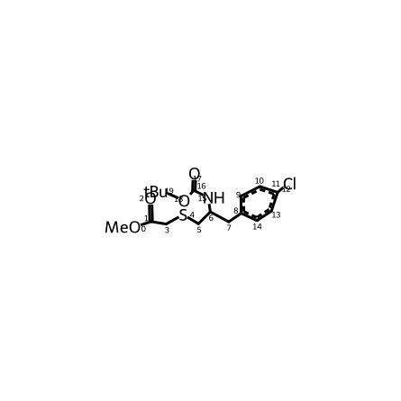 COC(=O)CSCC(Cc1ccc(Cl)cc1)NC(=O)OC(C)(C)C